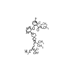 CCN(C(=O)c1cc(F)ccc1Oc1nncnc1N1CCC2(C1)CN([C@H](CCCN(C)C(=O)O)C(C)C)C2)C(C)C